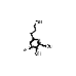 CC(C)c1cc(CCCO)cc(C(C)(C)C)c1O